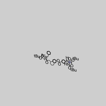 CC(=O)[C@H](Cc1ccccc1)N(CC(=O)OC(C)(C)C)C(=O)CC1CCCc2cc(OC(=O)c3ccc(N/C(=N\C(=O)OC(C)(C)C)NC(=O)OC(C)(C)C)cc3)ccc21